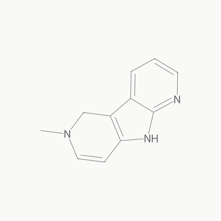 CN1C=Cc2[nH]c3ncccc3c2C1